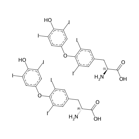 N[C@@H](Cc1cc(I)c(Oc2cc(I)c(O)c(I)c2)c(I)c1)C(=O)O.N[C@H](Cc1cc(I)c(Oc2cc(I)c(O)c(I)c2)c(I)c1)C(=O)O